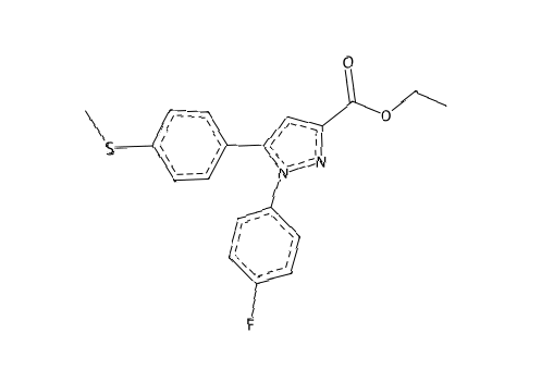 CCOC(=O)c1cc(-c2ccc(SC)cc2)n(-c2ccc(F)cc2)n1